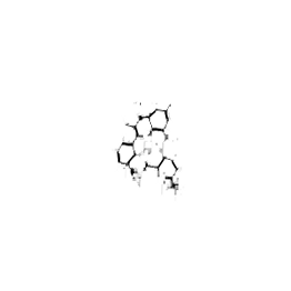 Cc1cc([C@@H](C)Nc2ccc(C(F)(F)F)nc2C(=O)O)c2oc(-c3cccc(C#N)c3)c(C)c(=O)c2c1